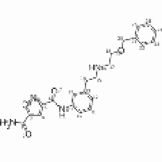 NC(=O)c1cc(C(=O)Nc2cccc([CH]CNCCOCc3ccccc3)c2)no1